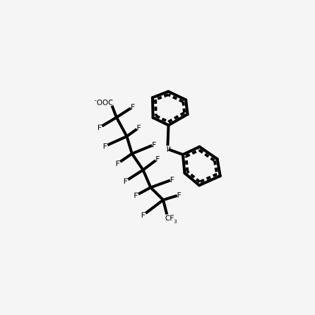 O=C([O-])C(F)(F)C(F)(F)C(F)(F)C(F)(F)C(F)(F)C(F)(F)C(F)(F)F.c1ccc([I+]c2ccccc2)cc1